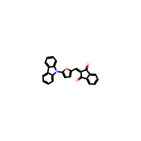 O=C1C(=Cc2ccc(-n3c4ccccc4c4ccccc43)s2)C(=O)c2ccccc21